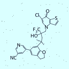 CC(C)(CC(O)(Cn1cc(Cl)c(=O)c2sccc21)C(F)(F)F)c1cc(-c2cncc(C#N)c2)cc2c1OCC2